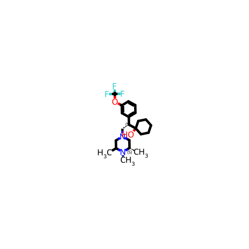 CC1CN(C[C@H](c2cccc(OC(F)(F)F)c2)C2(O)CCCCC2)C[C@H](C)N1C